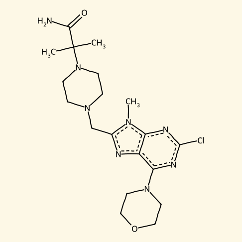 Cn1c(CN2CCN(C(C)(C)C(N)=O)CC2)nc2c(N3CCOCC3)nc(Cl)nc21